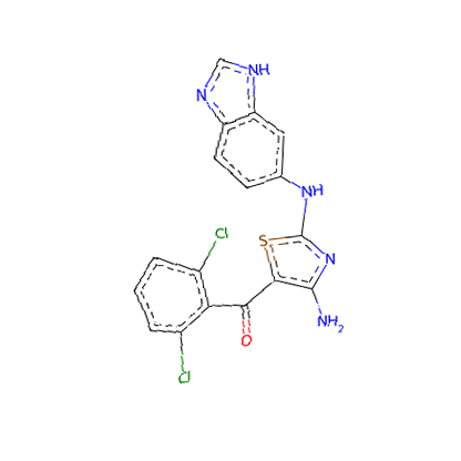 Nc1nc(Nc2ccc3nc[nH]c3c2)sc1C(=O)c1c(Cl)cccc1Cl